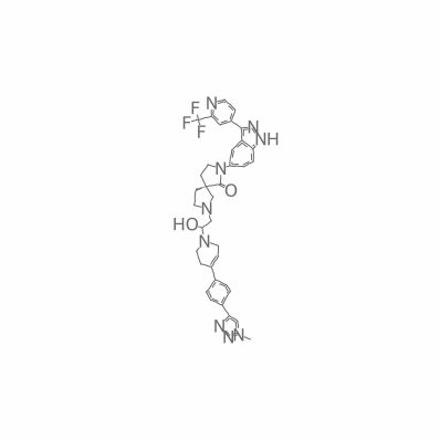 Cn1cc(-c2ccc(C3=CCN(C(O)CN4CC[C@]5(CCN(c6ccc7[nH]nc(-c8ccnc(C(F)(F)F)c8)c7c6)C5=O)C4)CC3)cc2)nn1